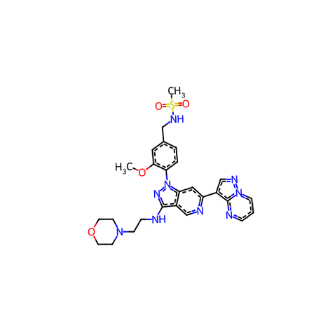 COc1cc(CNS(C)(=O)=O)ccc1-n1nc(NCCN2CCOCC2)c2cnc(-c3cnn4cccnc34)cc21